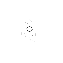 COC(=O)c1ccc(NC(=O)[C@H](C)N)c(O)c1.Cl